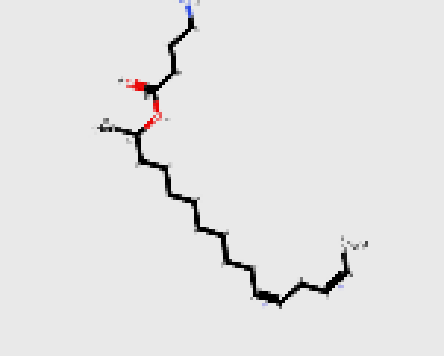 CCCCC/C=C\C/C=C\CCCCCCCCC(CCCCCCCCC)OC(=O)CCCN(C)C